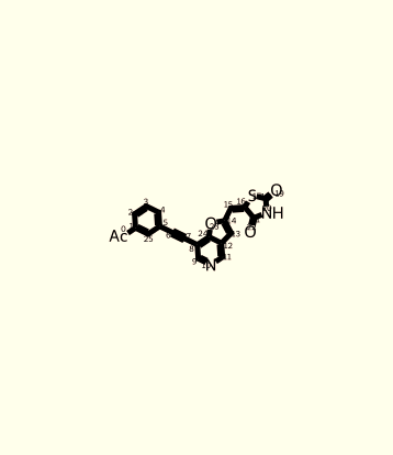 CC(=O)c1cccc(C#Cc2cncc3cc(/C=C4/SC(=O)NC4=O)oc23)c1